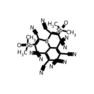 [CH3][Sb]([CH3])(=[O])[C](C#N)=C(C#N)B(C(C#N)=[C](C#N)[Sb]([CH3])([CH3])=[O])C(C(C#N)=C(C#N)C#N)C(C#N)=C(C#N)C#N